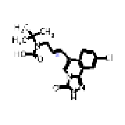 CC(C)(C)N(C/C=C/c1cn2c(=O)[nH]nc2c2cc(Cl)ccc12)C(=O)O